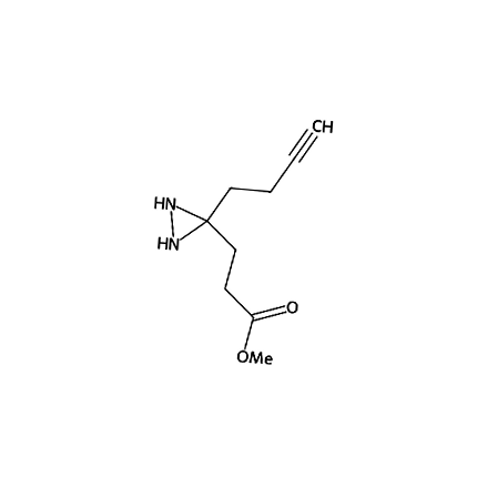 C#CCCC1(CCC(=O)OC)NN1